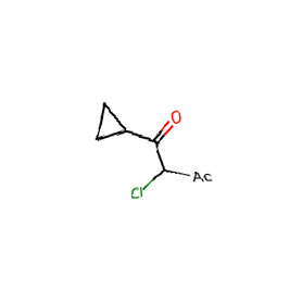 CC(=O)C(Cl)C(=O)C1CC1